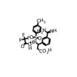 Cc1ccc(S(=O)(=O)NC(CC(=O)O)c2cccc(C(=N)N)c2)cc1.O=C(O)C(F)(F)F